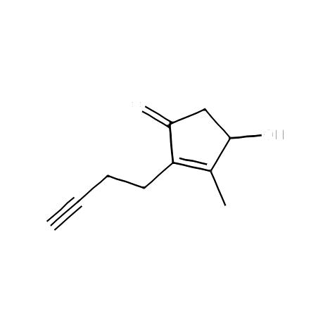 C#CCCC1=C(C)C(O)CC1=O